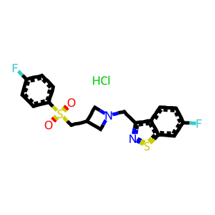 Cl.O=S(=O)(CC1CN(Cc2nsc3cc(F)ccc23)C1)c1ccc(F)cc1